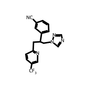 N#Cc1cccc(C(Cc2ccc(C(F)(F)F)cn2)Cn2cncn2)c1